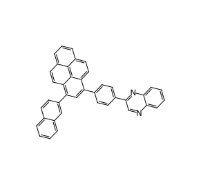 c1ccc2cc(-c3cc(-c4ccc(-c5cnc6ccccc6n5)cc4)c4ccc5cccc6ccc3c4c56)ccc2c1